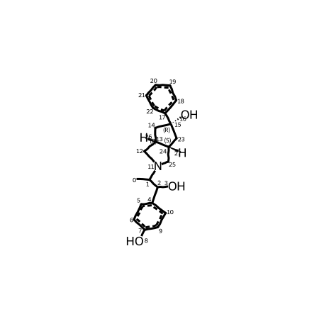 CC(C(O)c1ccc(O)cc1)N1C[C@@H]2C[C@@](O)(c3ccccc3)C[C@@H]2C1